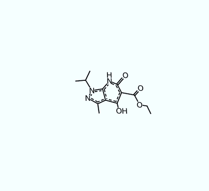 CCOC(=O)c1c(O)c2c(C)nn(C(C)C)c2[nH]c1=O